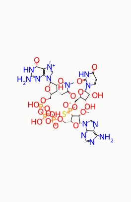 CO[C@@H]1[C@H](P([O-])(=S)OC[C@H]2O[C@@H](n3ccc(=O)[nH]c3=O)[C@H](O)[C@@H]2O)[C@@H](COP(=O)(O)OP(=O)(O)OP(=O)(O)OC[C@H]2O[C@@H](n3c[n+](C)c4c(=O)[nH]c(N)nc43)[C@H](O)[C@@H]2CC(=O)N(C)C)O[C@H]1n1cnc2c(N)ncnc21